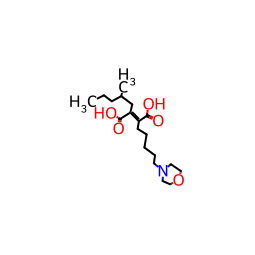 CCCC(C)C/C(C(=O)O)=C(/CCCCCN1CCOCC1)C(=O)O